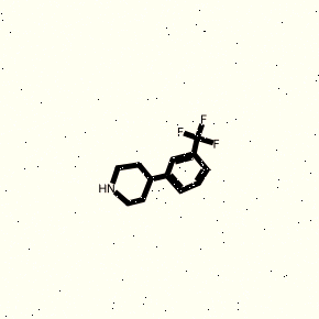 FC(F)(F)c1[c]ccc(C2CCNCC2)c1